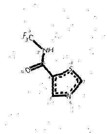 O=C(NC(F)(F)F)c1cncs1